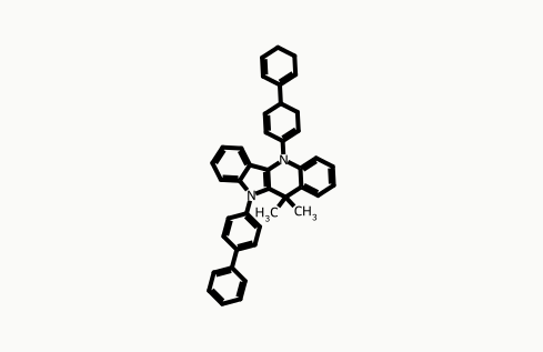 CC1(C)c2ccccc2N(C2=CCC(C3=CCCC=C3)C=C2)c2c1n(-c1ccc(-c3ccccc3)cc1)c1ccccc21